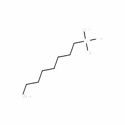 CCCCCCCCCCCCCCCC[N+](C)(C)CCCC